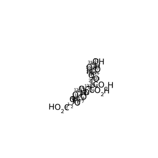 O=C(O)CCC(=O)O[C@@H]1CO[C@H]2[C@@H]1OC[C@@H]2OC(=O)/C=C(\C(=O)O)C(CC(=O)O[C@@H]1CO[C@H]2[C@@H]1OC[C@@H]2O)C(=O)O